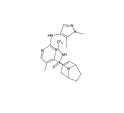 Cc1cnc(Nc2cnn(C)c2C)nc1C1=CC2CCC(C1)N2C(=O)NCC(F)(F)F